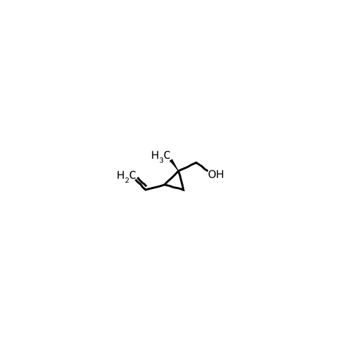 C=CC1C[C@@]1(C)CO